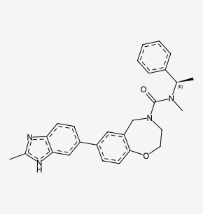 Cc1nc2ccc(-c3ccc4c(c3)CN(C(=O)N(C)[C@H](C)c3ccccc3)CCO4)cc2[nH]1